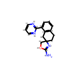 NC1=NC2(CCc3cccc(-c4ncccn4)c3C2)CO1